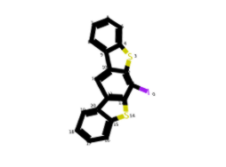 Ic1c2sc3ccccc3c2cc2c1sc1ccccc12